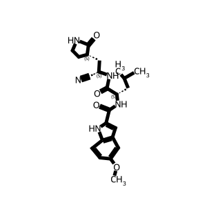 COc1ccc2[nH]c(C(=O)N[C@@H](CC(C)C)C(=O)N[C@H](C#N)C[C@@H]3CCNC3=O)cc2c1